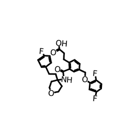 O=C(O)CCc1ccc(COc2cc(F)ccc2F)cc1C(=O)NC1(CCc2ccc(F)cc2)CCOCC1